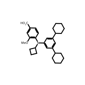 COc1cc(C(=O)O)ccc1N(c1cc(C2CCCCC2)cc(C2CCCCC2)c1)C1CCC1